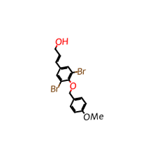 COc1ccc(COc2c(Br)cc(C=CCO)cc2Br)cc1